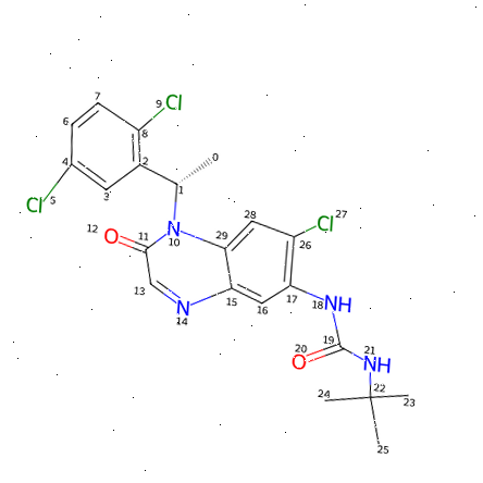 C[C@@H](c1cc(Cl)ccc1Cl)n1c(=O)cnc2cc(NC(=O)NC(C)(C)C)c(Cl)cc21